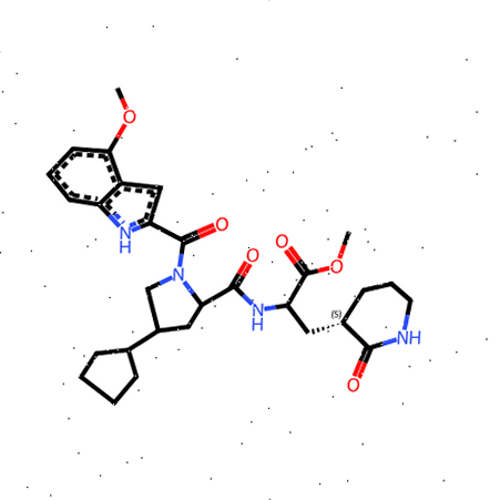 COC(=O)C(C[C@@H]1CCCNC1=O)NC(=O)C1CC(C2CCCC2)CN1C(=O)c1cc2c(OC)cccc2[nH]1